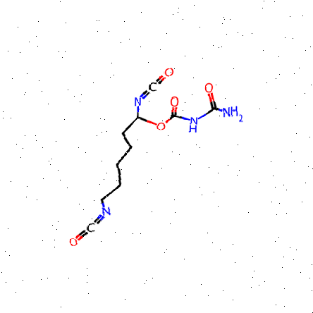 NC(=O)NC(=O)OC(CCCCCN=C=O)N=C=O